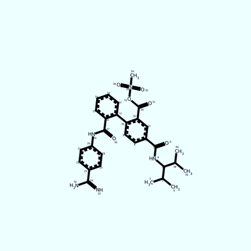 CC(C)C(NC(=O)c1ccc(-c2ccccc2C(=O)Nc2ccc(C(=N)N)cc2)c(C(=O)OS(C)(=O)=O)c1)C(C)C